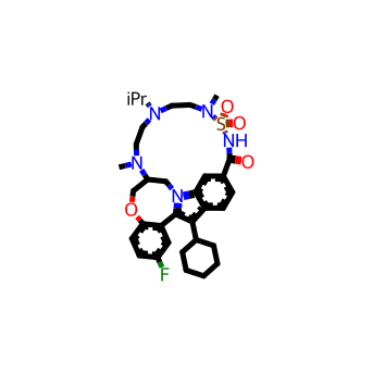 CC(C)N1CCN(C)C2COc3ccc(F)cc3-c3c(C4CCCCC4)c4ccc(cc4n3C2)C(=O)NS(=O)(=O)N(C)CC1